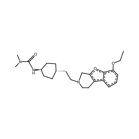 CCOc1cccc2c3c(oc12)CN(CC[C@H]1CC[C@H](NC(=O)N(C)C)CC1)CC3